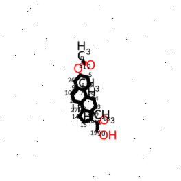 CC(=O)O[C@H]1CC[C@@]2(C)C(=CC[C@H]3[C@@H]4CC[C@H](C(=O)CO)[C@@]4(C)CC[C@@H]32)C1